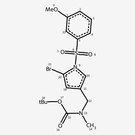 COc1cccc(S(=O)(=O)n2cc(CN(C)C(=O)OC(C)(C)C)cc2Br)c1